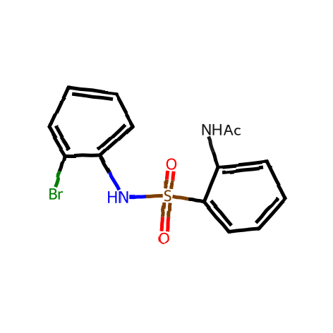 CC(=O)Nc1ccccc1S(=O)(=O)Nc1ccccc1Br